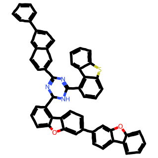 c1ccc(-c2ccc3cc(C4=NC(c5cccc6oc7cc(-c8ccc9c(c8)oc8ccccc89)ccc7c56)NC(c5cccc6sc7ccccc7c56)=N4)ccc3c2)cc1